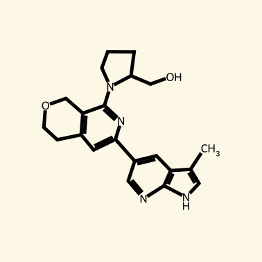 Cc1c[nH]c2ncc(-c3cc4c(c(N5CCCC5CO)n3)COCC4)cc12